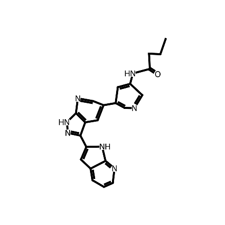 CCCC(=O)Nc1cncc(-c2cnc3[nH]nc(-c4cc5cccnc5[nH]4)c3c2)c1